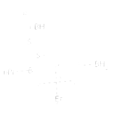 BCCC(C)(CC)CB(CCC)SSBC